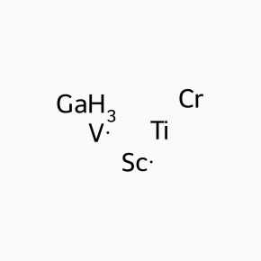 [Cr].[GaH3].[Sc].[Ti].[V]